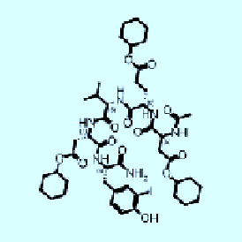 CC(=O)N[C@@H](CC(=O)OC1CCCCC1)C(=O)N[C@@H](CCC(=O)OC1CCCCC1)C(=O)N[C@H](C(=O)N[C@@H](CC(=O)OC1CCCCC1)C(=O)N[C@@H](Cc1ccc(O)c(I)c1)C(N)=O)C(C)C